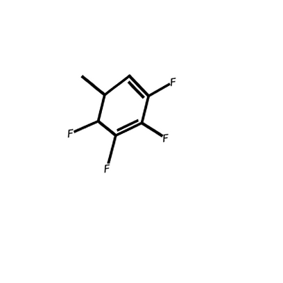 CC1C=C(F)C(F)=C(F)C1F